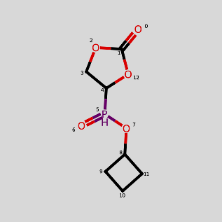 O=C1OCC([PH](=O)OC2CCC2)O1